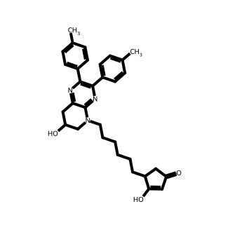 Cc1ccc(-c2nc3c(nc2-c2ccc(C)cc2)N(CCCCCCC2CC(=O)C=C2O)CC(O)C3)cc1